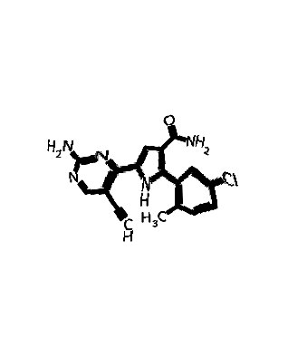 C#Cc1cnc(N)nc1-c1cc(C(N)=O)c(-c2cc(Cl)ccc2C)[nH]1